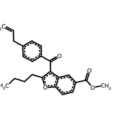 C=CCc1ccc(C(=O)c2c(CCCC)oc3ccc(C(=O)OC)cc23)cc1